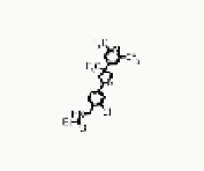 CCC(=O)NCc1ccc(C2CC(c3cc(C(F)(F)F)nc(C(F)(F)F)c3)(C(F)(F)F)C=N2)cc1Cl